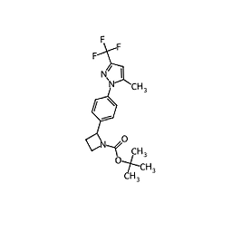 Cc1cc(C(F)(F)F)nn1-c1ccc(C2CCN2C(=O)OC(C)(C)C)cc1